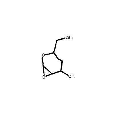 OCC1CC(O)C2OC2O1